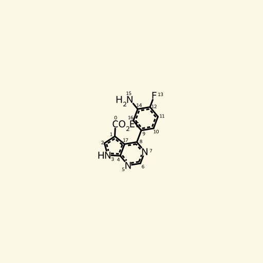 CCOC(=O)c1c[nH]c2ncnc(-c3ccc(F)c(N)c3)c12